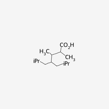 CC(C)CC(CC(C)C)C(C)C(C)C(=O)O